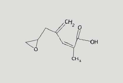 C=C(C=C(C)C(=O)O)CC1CO1